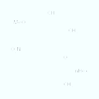 CCCCCCC1(C)C=Cc2c(c(C)c(C)c(OC)c2[N+](=O)[O-])O1